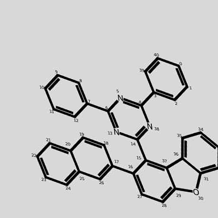 c1ccc(-c2nc(-c3ccccc3)nc(-c3c(-c4ccc5ccccc5c4)ccc4oc5ccccc5c34)n2)cc1